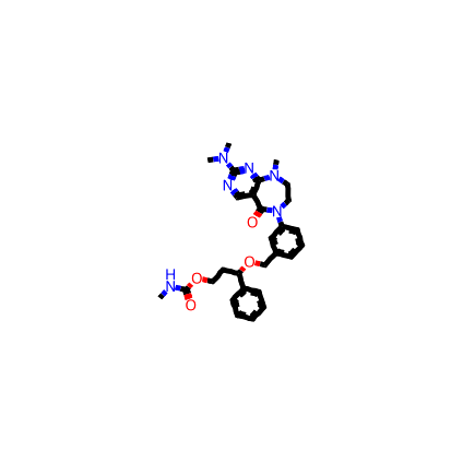 CNC(=O)OCCC(OCc1cccc(N2CCN(C)c3nc(N(C)C)ncc3C2=O)c1)c1ccccc1